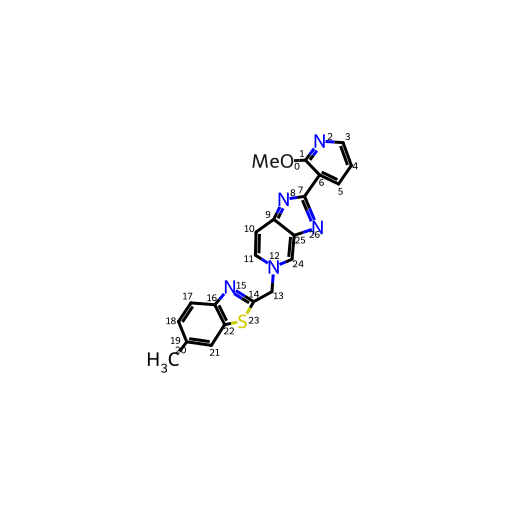 COc1ncccc1-c1nc2ccn(Cc3nc4ccc(C)cc4s3)cc-2n1